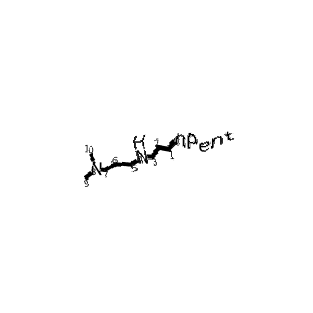 CCCCCCCCNCCCN(C)C